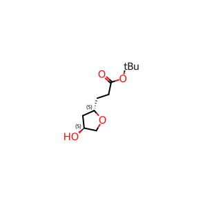 CC(C)(C)OC(=O)CC[C@H]1C[C@H](O)CO1